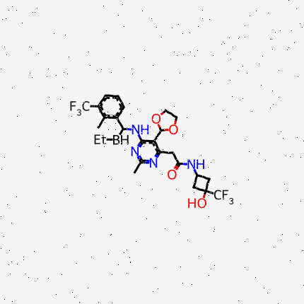 CCBC(Nc1nc(C)nc(CC(=O)NC2CC(O)(C(F)(F)F)C2)c1C1OCCO1)c1cccc(C(F)(F)F)c1C